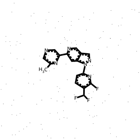 Cc1cncc(-c2cc3c(cn2)cnn3-c2ccc(C(F)F)c(F)n2)n1